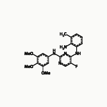 COc1cc(Nc2ncc(F)c(Nc3cccc(C)c3N)n2)cc(OC)c1OC